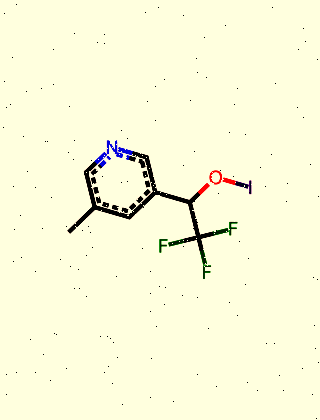 Cc1cncc(C(OI)C(F)(F)F)c1